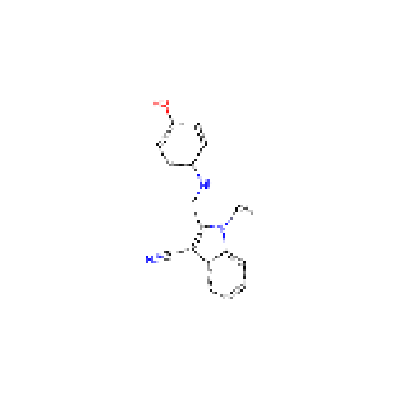 Cn1c(CNc2ccc(O)cc2)c(C#N)c2ccccc21